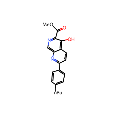 CCCCc1ccc(-c2ccc3c(O)c(C(=O)OC)ncc3n2)cc1